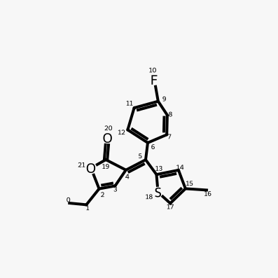 CCC1=CC(=C(c2ccc(F)cc2)c2cc(C)cs2)C(=O)O1